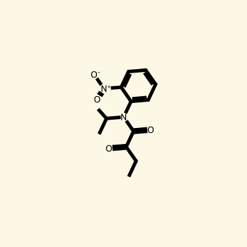 CCC(=O)C(=O)N(c1ccccc1[N+](=O)[O-])C(C)C